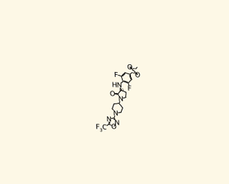 CS(=O)(=O)c1cc(F)c(N[C@H]2CCN(C3CCN(c4noc(C(F)(F)F)n4)CC3)C2=O)c(F)c1